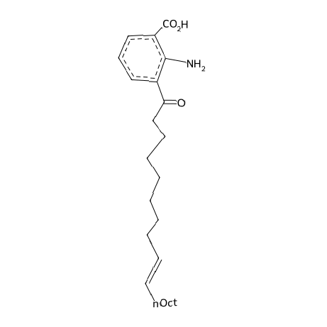 CCCCCCCCC=CCCCCCCCC(=O)c1cccc(C(=O)O)c1N